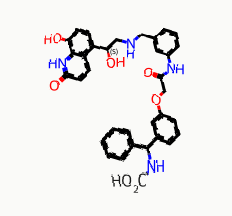 O=C(O)NC(c1ccccc1)c1cccc(OCC(=O)Nc2cccc(CNC[C@@H](O)c3ccc(O)c4[nH]c(=O)ccc34)c2)c1